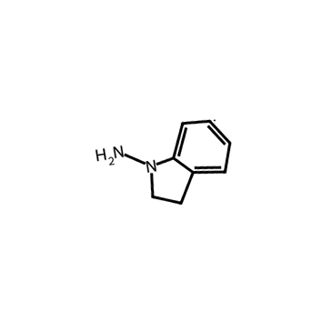 NN1CCc2cc[c]cc21